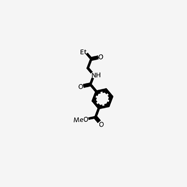 CCC(=O)CNC(=O)c1cccc(C(=O)OC)c1